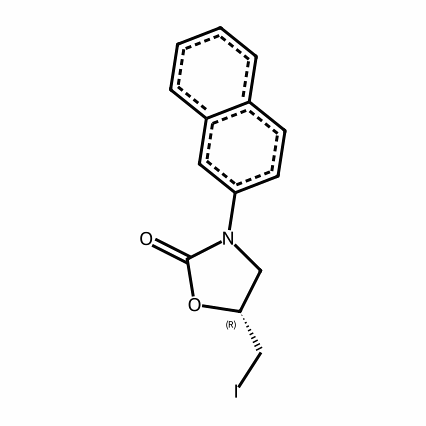 O=C1O[C@@H](CI)CN1c1ccc2ccccc2c1